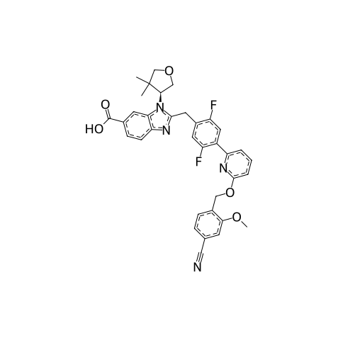 COc1cc(C#N)ccc1COc1cccc(-c2cc(F)c(Cc3nc4ccc(C(=O)O)cc4n3[C@@H]3COCC3(C)C)cc2F)n1